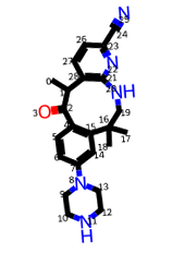 CC1C(=O)c2ccc(N3CCNCC3)cc2C(C)(C)CNc2nc(C#N)ccc21